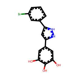 Oc1cc(-c2cc(-c3cccc(Br)c3)[nH]n2)cc(O)c1O